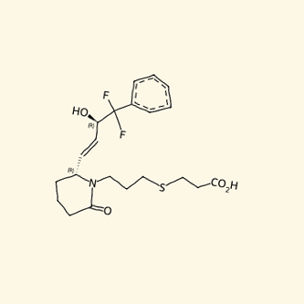 O=C(O)CCSCCCN1C(=O)CCC[C@@H]1C=C[C@@H](O)C(F)(F)c1ccccc1